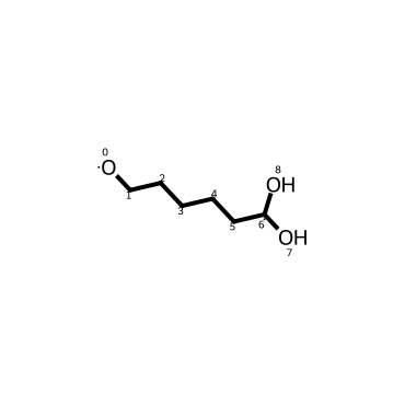 [O]CCCCC[C](O)O